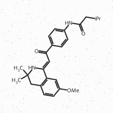 COc1ccc2c(c1)C(=CC(=O)c1ccc(NC(=O)CC(C)C)cc1)NC(C)(C)C2